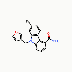 CC(C)c1c[c]c2c3c(C(N)=O)cccc3n(Cc3ccoc3)c2c1